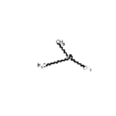 CCCCCCCCCCCCCCc1n(CCCCCCCCC)cc[n+]1CCCCCCCCCC